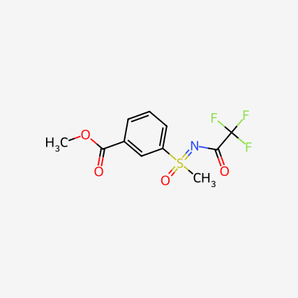 COC(=O)c1cccc(S(C)(=O)=NC(=O)C(F)(F)F)c1